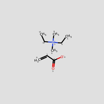 C=CC(=O)[O-].CC[N+](C)(C)CC